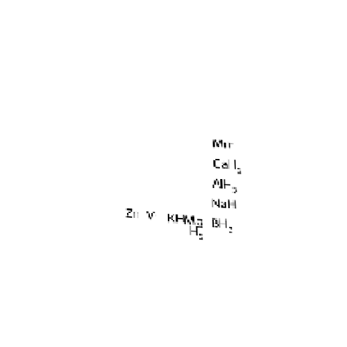 B.[AlH3].[CaH2].[KH].[MgH2].[Mn].[NaH].[V].[Zn]